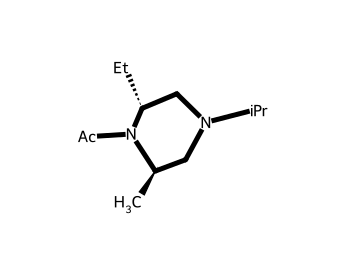 CC[C@@H]1CN(C(C)C)C[C@@H](C)N1C(C)=O